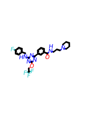 O=C(NCCCN1CCCCC1)c1cccc(-c2nc(NCc3ccc(F)cc3)nc(OCC(F)(F)F)n2)c1